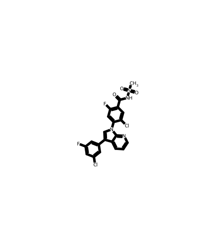 CS(=O)(=O)NC(=O)c1cc(Cl)c(-n2cc(-c3cc(F)cc(Cl)c3)c3cccnc32)cc1F